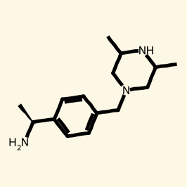 CC1CN(Cc2ccc([C@H](C)N)cc2)CC(C)N1